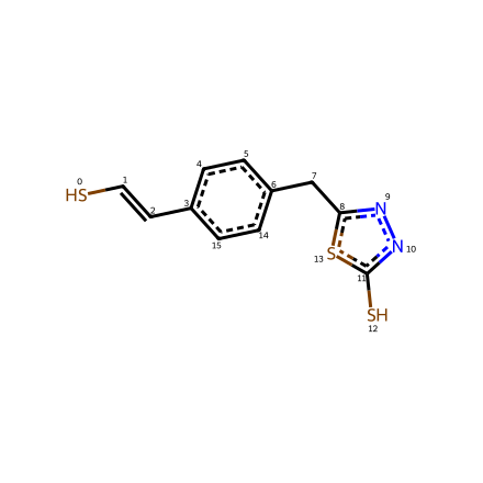 SC=Cc1ccc(Cc2nnc(S)s2)cc1